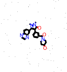 Cn1c(-c2ccc3nccnc3c2)c(-c2cccc(C(=O)N3CCC(=O)CC3)c2)c(=O)n1C